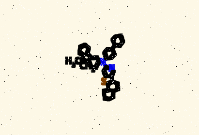 CC1(C)c2ccccc2-c2cc(N(c3ccc(-c4ccccc4)cc3)c3cc4sc5c6ccccc6ccc5c4cn3)ccc21